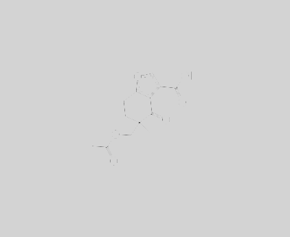 CC(=O)OCC1(C)CCc2occ(C(=O)O)c2C1=O